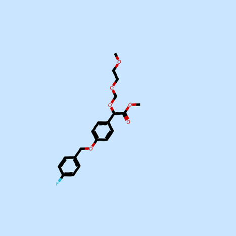 COCCOCOC(C(=O)OC)c1ccc(OCc2ccc(F)cc2)cc1